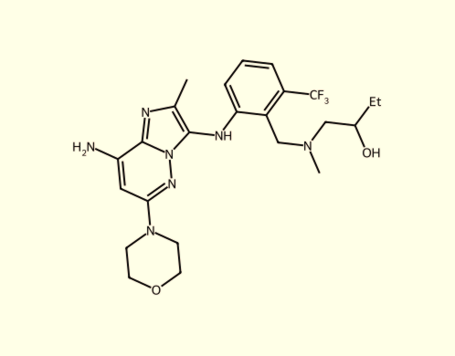 CCC(O)CN(C)Cc1c(Nc2c(C)nc3c(N)cc(N4CCOCC4)nn23)cccc1C(F)(F)F